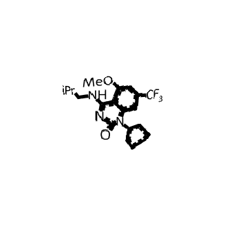 COc1cc(C(F)(F)F)cc2c1c(NCC(C)C)nc(=O)n2-c1ccccc1